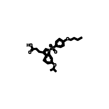 CCCCOc1ccc(S(=O)(=O)n2cc(CCC(=O)O)c3ccc(OC(C)C)cc32)cc1